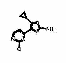 Nc1nc(C2CC2)c(-c2ccnc(Cl)n2)s1